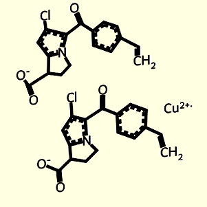 C=Cc1ccc(C(=O)c2c(Cl)cc3n2CCC3C(=O)[O-])cc1.C=Cc1ccc(C(=O)c2c(Cl)cc3n2CCC3C(=O)[O-])cc1.[Cu+2]